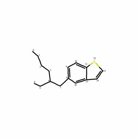 CCCCC(CC)Cc1ccc2sccc2c1